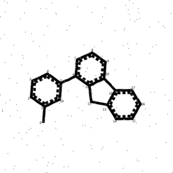 Cc1cccc(-c2cccc3c2Cc2ccccc2-3)c1